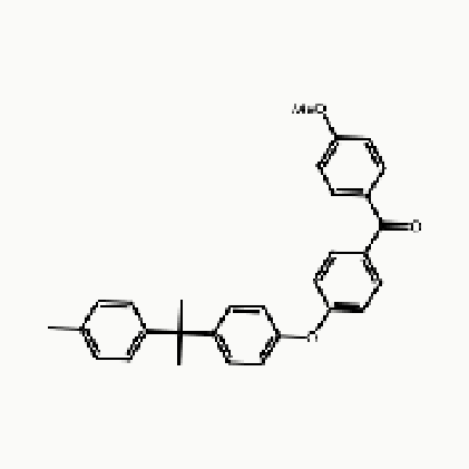 COc1ccc(C(=O)c2ccc(Oc3ccc(C(C)(C)c4ccc(C)cc4)cc3)cc2)cc1